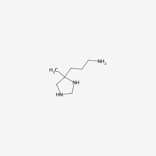 CC1(CCCN)CNCN1